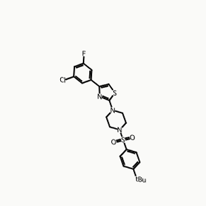 CC(C)(C)c1ccc(S(=O)(=O)N2CCN(c3nc(-c4cc(F)cc(Cl)c4)cs3)CC2)cc1